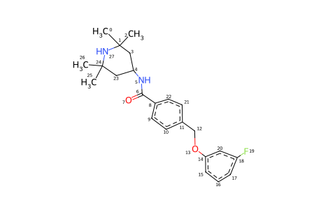 CC1(C)CC(NC(=O)c2ccc(COc3cccc(F)c3)cc2)CC(C)(C)N1